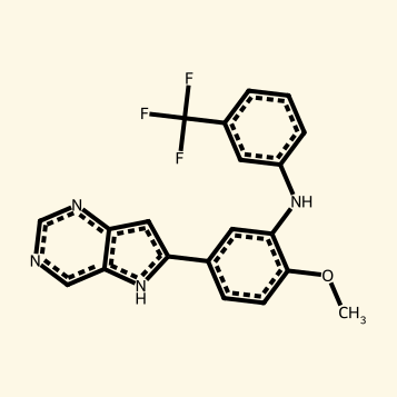 COc1ccc(-c2cc3ncncc3[nH]2)cc1Nc1cccc(C(F)(F)F)c1